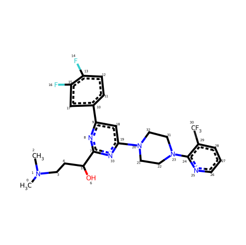 CN(C)CCC(O)c1nc(-c2ccc(F)c(F)c2)cc(N2CCN(c3ncccc3C(F)(F)F)CC2)n1